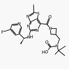 Cc1nc2nc(N[C@@H](C)c3cncc(F)c3)nc(C(=O)N3CC(CN(C(=O)O)C(C)(C)C)C3)c2s1